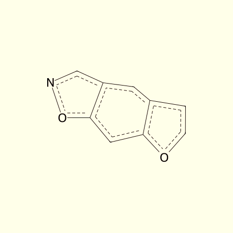 c1cc2cc3cnoc3cc2o1